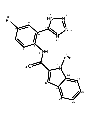 CCCn1c(C(=O)Nc2ccc(Br)cc2-c2nnn[nH]2)cc2ccccc21